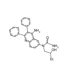 CCC(O)CN(C(N)=O)c1ccc2nc(-c3ccccc3)c(-c3ccccc3)c(N)c2c1